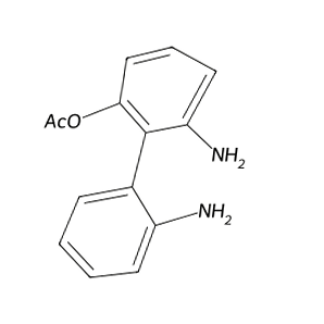 CC(=O)Oc1cccc(N)c1-c1ccccc1N